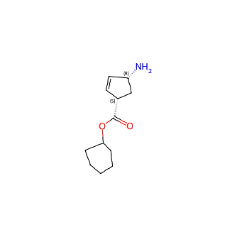 N[C@H]1C=C[C@@H](C(=O)OC2CCCCC2)C1